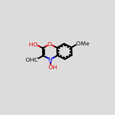 COc1ccc2c(c1)OC(O)=C(C=O)N2O